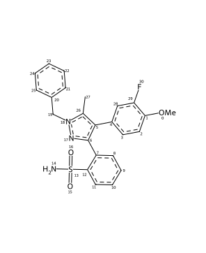 COc1ccc(-c2c(-c3ccccc3S(N)(=O)=O)nn(Cc3ccccc3)c2C)cc1F